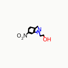 O=[N+]([O-])c1ccc2cnn(CCO)c2c1